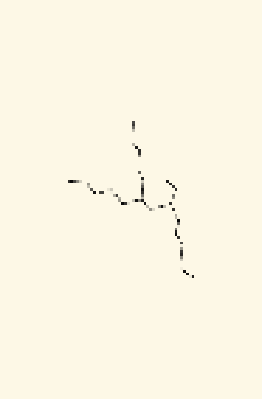 CCCCCC(CC)CC(CCCCC)CCCCC